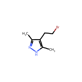 Cc1n[nH]c(C)c1CCBr